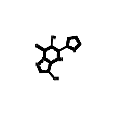 CC(C)c1c(-c2cccs2)[nH]c2c(C#N)cnn2c1=O